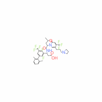 Cc1cccc(C)c1-c1cc(C(F)(F)F)c(F)c(C(CC(=O)O)NC(=O)C(CC(C)C)n2cc(CCCN3CCC3)c(C(F)(F)F)cc2=O)c1F